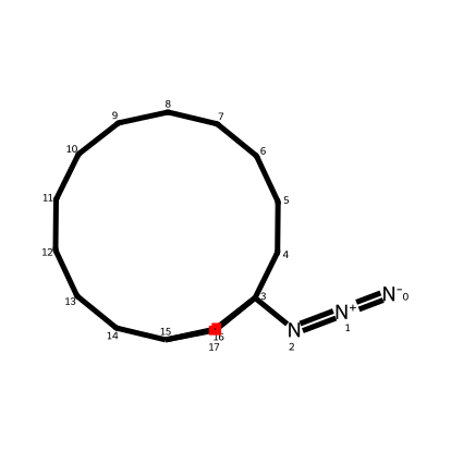 [N-]=[N+]=NC12CCCCCCCCCCCC(C1)C2